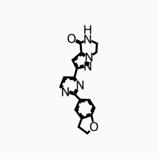 O=C1NCCn2nc(-c3ccnc(-c4ccc5c(c4)CCO5)n3)cc21